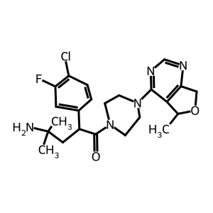 CC1OCc2ncnc(N3CCN(C(=O)C(CC(C)(C)N)c4ccc(Cl)c(F)c4)CC3)c21